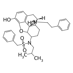 CC(C)CN(C1CC[C@@]2(O)[C@H]3Cc4ccc(O)c5c4[C@@]2(CCN3CCc2ccccc2)C1O5)S(=O)(=O)Cc1ccccc1